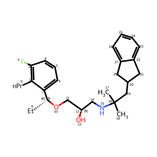 CCCc1c(F)cccc1[C@@H](CC)OC[C@H](O)CNC(C)(C)CC1Cc2ccccc2C1